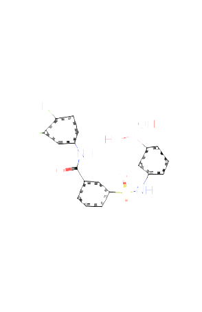 O=C(Nc1ccc(F)c(F)c1)c1cccc(S(=O)(=O)Nc2cccc(B(O)O)c2)c1